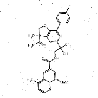 COc1cc(C(=O)NCC(O)(c2cc3c(c(-c4ccc(F)cc4)n2)OC[C@]3(C)C(N)=O)C(F)(F)F)cc2c(C)ccnc12